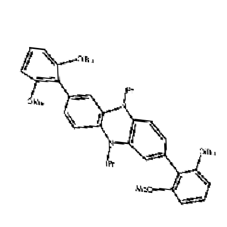 COc1cccc(OCC(C)C)c1-c1ccc2c(c1)N(C(C)C)c1ccc(-c3c(OC)cccc3OCC(C)C)cc1N2C(C)C